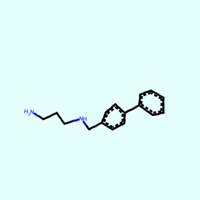 NCCCNCc1ccc(-c2c[c]ccc2)cc1